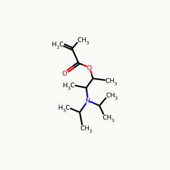 C=C(C)C(=O)OC(C)C(C)N(C(C)C)C(C)C